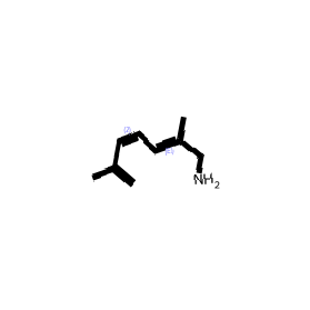 C=C(C)/C=C\C=C(/C)CN